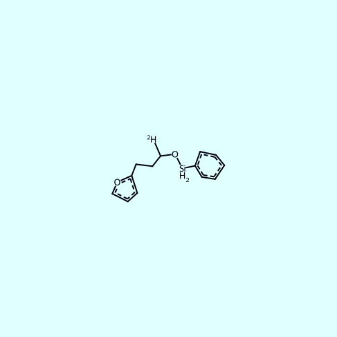 [2H]C(CCc1ccco1)O[SiH2]c1ccccc1